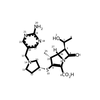 CC(O)[C@H]1C(=O)N2C(C(=O)O)=C(S[C@@H]3CCN(Cc4cnc(N)nc4)C3)[C@H](C)[C@H]12